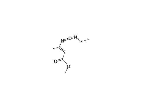 CCN=C=NC(C)=CC(=O)OC